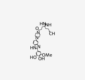 C#CCCC1(CCC(=O)N2CCN(c3ccc4[nH]c(-c5cc(O)c(O)c(OC)c5)nc4c3)CC2)NN1